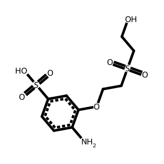 Nc1ccc(S(=O)(=O)O)cc1OCCS(=O)(=O)CCO